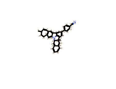 CC1C=Cc2cc3c4cc(-c5ccc(C#N)cc5)cc5c4n(c3cc2CC1)C1C=c2ccccc2=CC51C